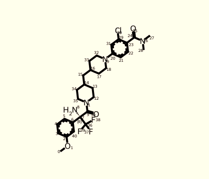 COc1cccc([C@@](N)(C(=O)N2CCC(CC3CCN(c4ccc(C(=O)N(C)C)c(Cl)c4)CC3)CC2)C(F)(F)F)c1